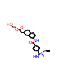 C#CCN(C)C(=N)c1ccc(C(=O)Nc2ccc3c(c2)CC(CC(=O)OCCO)CC3)cc1